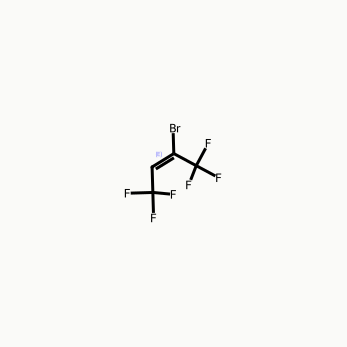 FC(F)(F)/C=C(/Br)C(F)(F)F